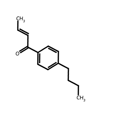 C/C=C/C(=O)c1ccc(CCCC)cc1